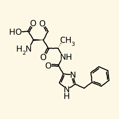 C[C@H](NC(=O)c1c[nH]c(Cc2ccccc2)n1)C(=O)[C@H](C=O)C(N)C(=O)O